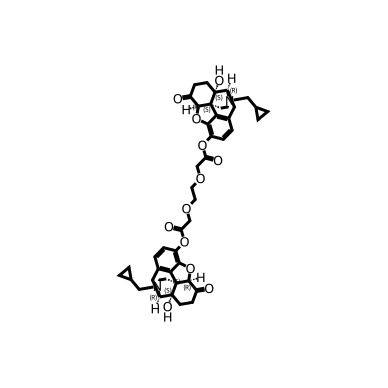 O=C(COCCOCC(=O)Oc1ccc2c3c1O[C@H]1C(=O)CC[C@@]4(O)[C@@H](C2)N(CC2CC2)CC[C@]314)Oc1ccc2c3c1O[C@H]1C(=O)CC[C@@]4(O)[C@@H](C2)N(CC2CC2)CC[C@]314